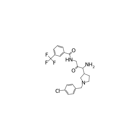 NC(C(=O)CNC(=O)c1cccc(C(F)(F)F)c1)C1CCN(Cc2ccc(Cl)cc2)C1